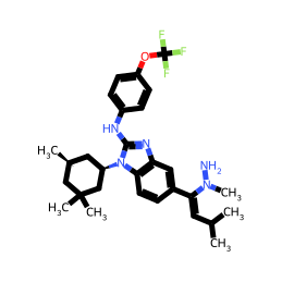 CC(C)/C=C(/c1ccc2c(c1)nc(Nc1ccc(OC(F)(F)F)cc1)n2[C@@H]1C[C@H](C)CC(C)(C)C1)N(C)N